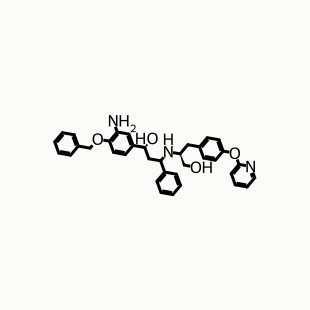 Nc1cc([C@H](O)CC(N[C@H](CO)Cc2ccc(Oc3ccccn3)cc2)c2ccccc2)ccc1OCc1ccccc1